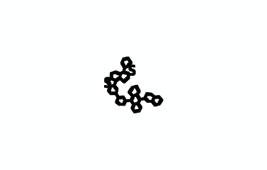 c1cc(-c2ccc3sc4ccc5c(ccc6sc7ccccc7c65)c4c3c2)cc(-c2c3ccccc3c(-c3ccc4ccccc4c3)c3ccccc23)c1